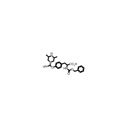 CCCC(Oc1ccc(CC(NC(=O)OCc2ccccc2)C(=O)O)cc1)N1CC(C)NC(C)C1